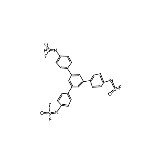 O=[SH](/F)=N/c1ccc(-c2cc(-c3ccc(N=S(=O)(F)F)cc3)cc(-c3ccc(/N=[SH](=O)/F)cc3)c2)cc1